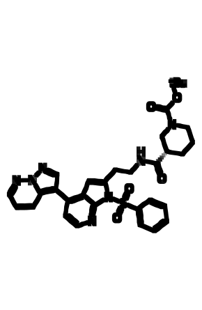 CC(C)(C)OC(=O)N1CCC[C@H](C(=O)NCCc2cc3c(-c4cnn5ncccc45)ccnc3n2S(=O)(=O)c2ccccc2)C1